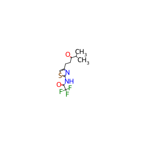 CC(C)C(=O)CCc1csc(NC(=O)C(F)(F)F)n1